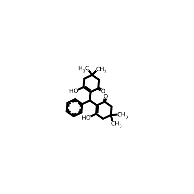 CC1(C)CC(=O)C(C(C2=C(O)CC(C)(C)CC2=O)c2ccccc2)=C(O)C1